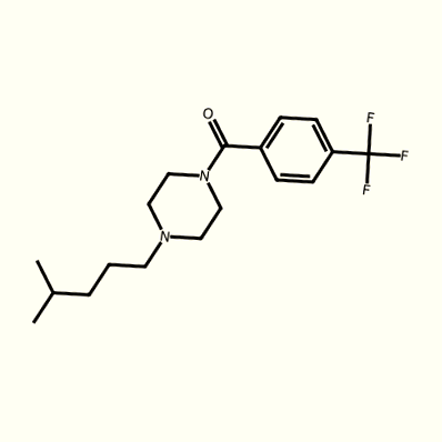 CC(C)CCCN1CCN(C(=O)c2ccc(C(F)(F)F)cc2)CC1